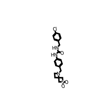 O=C(NCc1ccc(Cl)cc1)Nc1ccc(CN2CCC23CS(=O)(=O)C3)cc1